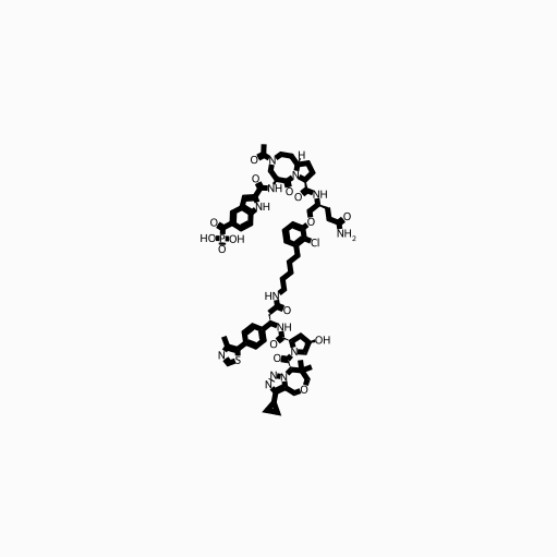 CC(=O)N1CC[C@H]2CC[C@@H](C(=O)N[C@@H](CCC(N)=O)COc3cccc(CCCCCNC(=O)C[C@H](NC(=O)[C@@H]4C[C@@H](O)CN4C(=O)[C@H]4n5nnc(C6CC6)c5COCC4(C)C)c4ccc(-c5scnc5C)cc4)c3Cl)N2C(=O)[C@@H](NC(=O)c2cc3cc(C(=O)P(=O)(O)O)ccc3[nH]2)C1